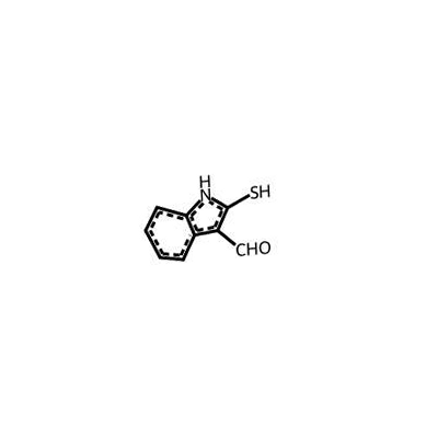 O=Cc1c(S)[nH]c2ccccc12